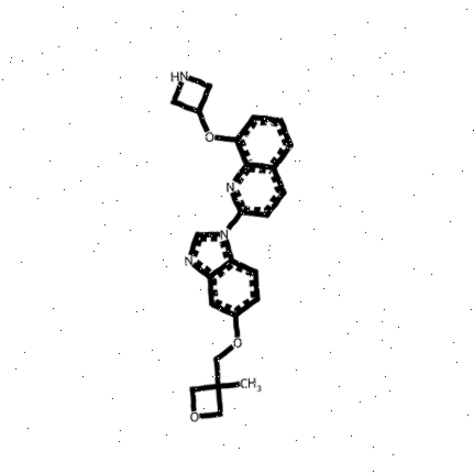 CC1(COc2ccc3c(c2)ncn3-c2ccc3cccc(OC4CNC4)c3n2)COC1